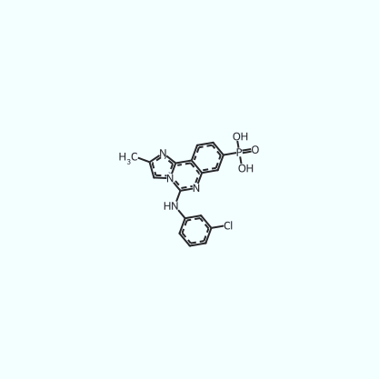 Cc1cn2c(Nc3cccc(Cl)c3)nc3cc(P(=O)(O)O)ccc3c2n1